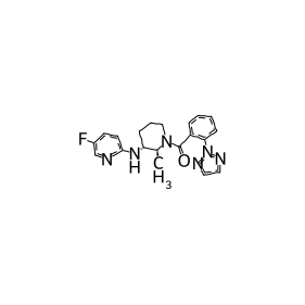 C[C@H]1[C@H](Nc2ccc(F)cn2)CCCN1C(=O)c1ccccc1-n1nccn1